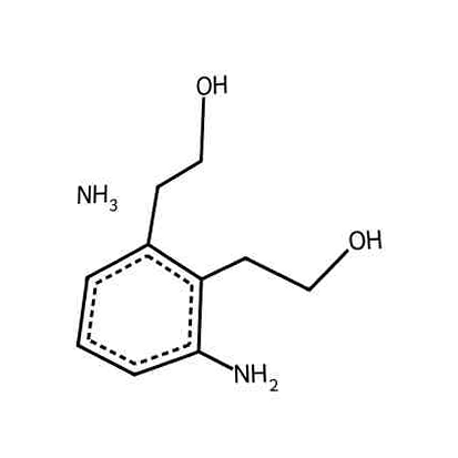 N.Nc1cccc(CCO)c1CCO